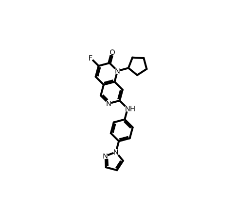 O=c1c(F)cc2cnc(Nc3ccc(-n4cccn4)cc3)cc2n1C1CCCC1